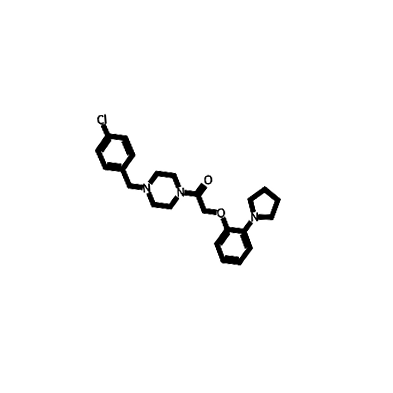 O=C(COc1ccccc1N1CCCC1)N1CCN(Cc2ccc(Cl)cc2)CC1